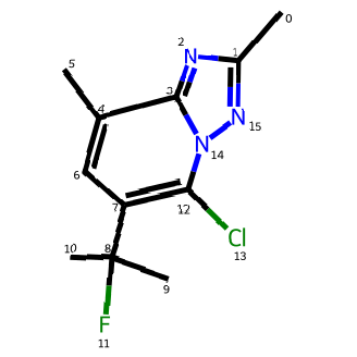 Cc1nc2c(C)cc(C(C)(C)F)c(Cl)n2n1